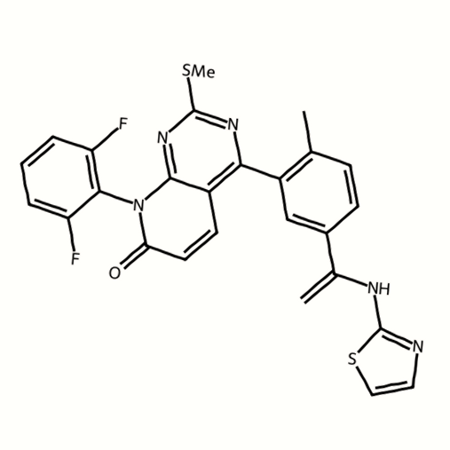 C=C(Nc1nccs1)c1ccc(C)c(-c2nc(SC)nc3c2ccc(=O)n3-c2c(F)cccc2F)c1